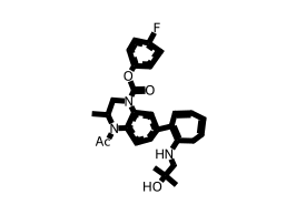 CC(=O)N1c2ccc(C3=C(NCC(C)(C)O)CC=CC=C3)cc2N(C(=O)Oc2ccc(F)cc2)CC1C